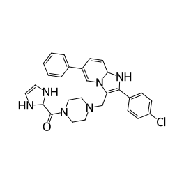 O=C(C1NC=CN1)N1CCN(CC2=C(c3ccc(Cl)cc3)NC3C=CC(c4ccccc4)=CN23)CC1